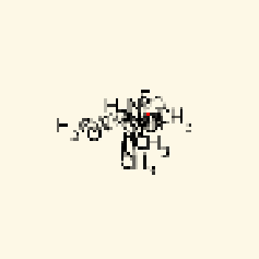 C=CC(=O)N1CCC(Oc2cc(N3CCN(C)C[C@@H]3C)nc(-c3cc([C@]4(C)CCCc5sc(N)c(C#N)c54)no3)n2)CC1